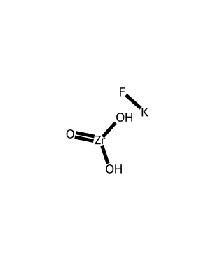 [F][K].[O]=[Zr]([OH])[OH]